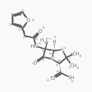 CC1(C)S[C@H]2N(C(=O)C2(C)NC(=O)Cc2ccco2)[C@H]1C(=O)S